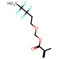 C=C(C)C(=O)OCOCCC(F)(F)C(F)(F)S(=O)(=O)O